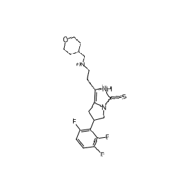 Fc1ccc(F)c(C2Cc3c(CCNCC4CCOCC4)[nH]c(=S)n3C2)c1F